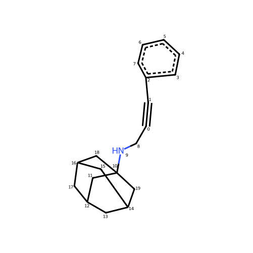 C(#Cc1ccccc1)CNC12CC3CC(CC(C3)C1)C2